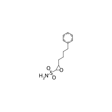 NS(=O)(=O)C1OC1CCCCc1ccccc1